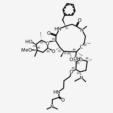 CO[C@]1(C)C[C@H](O[C@H]2[C@H](C)[C@@H](O[C@@H]3O[C@H](C)C[C@H](N(C)C)[C@H]3OCCCNC(=O)CN(C)C)[C@](C)(O)C[C@@H](C)CN(C)C(=O)C[C@H](Cc3ccccc3)NC(=O)[C@@H]2C)O[C@@H](C)[C@@H]1O